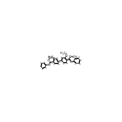 CO/C(=N\c1ccccc1)c1ccc(-c2ccc(/C(=N/c3ccccc3)OC)c(OC)c2)cc1C